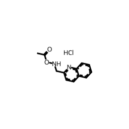 CC(=O)ONCc1ccc2ccccc2n1.Cl